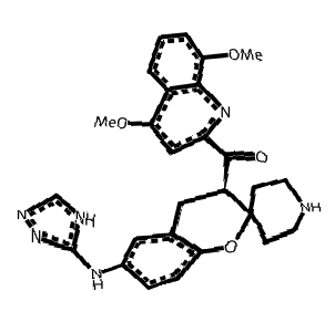 COc1cc(C(=O)[C@@H]2Cc3cc(Nc4nnc[nH]4)ccc3OC23CCNCC3)nc2c(OC)cccc12